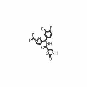 O=C1NCC(C(=O)N[C@H](c2ccc(F)c(Cl)c2)c2ccn(C(F)F)n2)O1